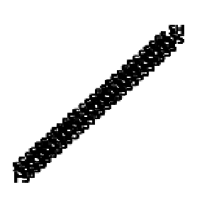 S=S(S)S(=S)(=S)S(=S)(=S)S(=S)(=S)S(=S)(=S)S(=S)(=S)S(=S)(=S)S(=S)(=S)S(=S)(=S)S(=S)(=S)S(=S)(=S)S(=S)(=S)S(=S)(=S)S(=S)(=S)S(=S)(=S)S(=S)(=S)S(=S)(=S)S(=S)(=S)S(=S)(=S)S(=S)(=S)S(=S)(=S)S(=S)(=S)S(=S)(=S)S(=S)(=S)S(=S)(=S)S(=S)(=S)S(=S)(=S)S(=S)(=S)S(=S)(=S)I